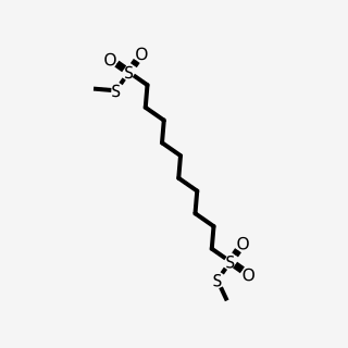 CSS(=O)(=O)CCCCCCCCCCS(=O)(=O)SC